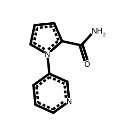 NC(=O)c1cccn1-c1cccnc1